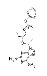 CC[C@@H](CO[PH](=S)Oc1ccccc1)O[C@H](C)n1cnc2c(N)nc(N)nc21